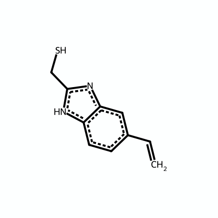 C=Cc1ccc2[nH]c(CS)nc2c1